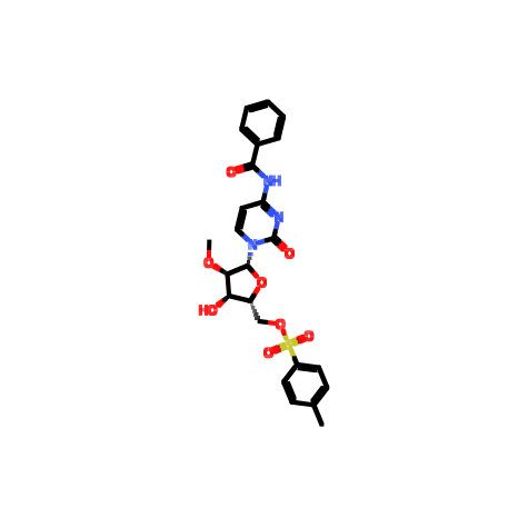 CO[C@@H]1[C@H](O)[C@@H](COS(=O)(=O)c2ccc(C)cc2)O[C@H]1n1ccc(NC(=O)c2ccccc2)nc1=O